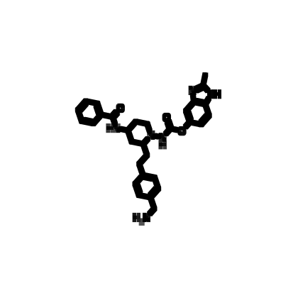 Cc1nc2cc(OC(=O)NN3CCC(NC(=O)c4ccccc4)CC3CCc3ccc(CN)cc3)ccc2[nH]1